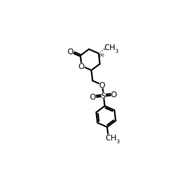 Cc1ccc(S(=O)(=O)OCC2C[C@@H](C)CC(=O)O2)cc1